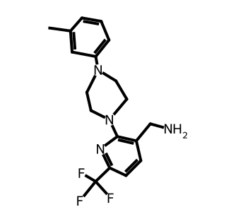 Cc1cccc(N2CCN(c3nc(C(F)(F)F)ccc3CN)CC2)c1